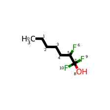 CCCCCC(F)C(O)(F)F